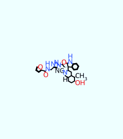 C[C@@H]1C2CC([C@@]3(CCn4cc(CNC(=O)c5ccco5)nn4)C(=O)Nc4ccccc43)N(C#N)C[C@@H]2CC[C@@H]1O